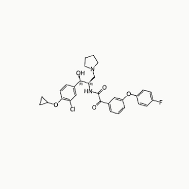 O=C(N[C@H](CN1CCCC1)[C@H](O)c1ccc(OC2CC2)c(Cl)c1)C(=O)c1cccc(Oc2ccc(F)cc2)c1